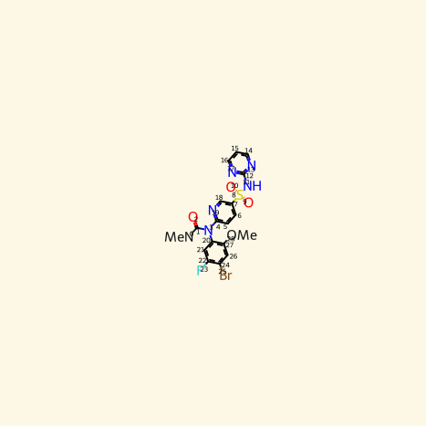 CNC(=O)N(c1ccc(S(=O)(=O)Nc2ncccn2)cn1)c1cc(F)c(Br)cc1OC